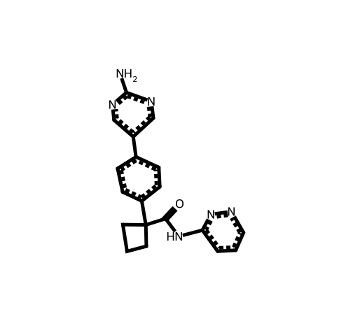 Nc1ncc(-c2ccc(C3(C(=O)Nc4cccnn4)CCC3)cc2)cn1